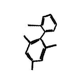 Cc1cc(C)c(-c2ccccc2C)c(C)c1